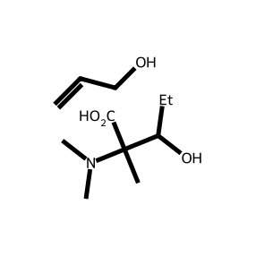 C=CCO.CCC(O)C(C)(C(=O)O)N(C)C